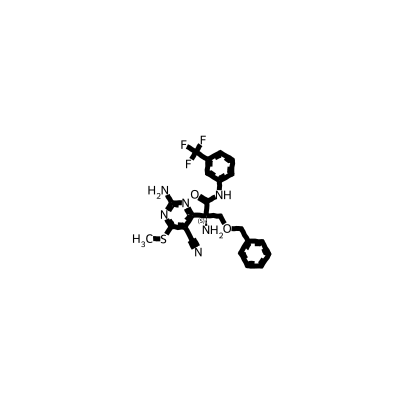 CSc1nc(N)nc([C@](N)(COCc2ccccc2)C(=O)Nc2cccc(C(F)(F)F)c2)c1C#N